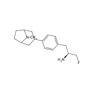 CN1C2CCC1CC(c1ccc(C[C@H](N)CF)cc1)C2